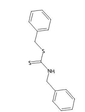 S=C(NCc1ccccc1)SCc1ccccc1